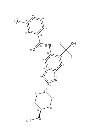 CC(C)(O)c1cc2nn([C@H]3CC[C@H](CI)CC3)cc2cc1NC(=O)c1cccc(C(F)(F)F)n1